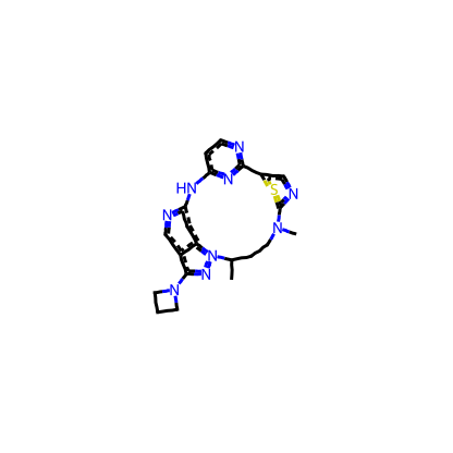 CC1CCN(C)c2ncc(s2)-c2nccc(n2)Nc2cc3c(cn2)c(N2CCC2)nn31